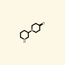 O=C1CCN(C2CCCNC2)CC1